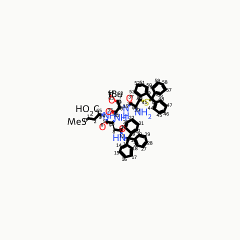 CSCC[C@H](NC(=O)[C@H](CC(=O)NC(c1ccccc1)(c1ccccc1)c1ccccc1)NC(=O)[C@@H](NC(=O)[C@@H](N)CSC(c1ccccc1)(c1ccccc1)c1ccccc1)[C@@H](C)OC(C)(C)C)C(=O)O